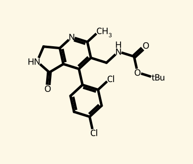 Cc1nc2c(c(-c3ccc(Cl)cc3Cl)c1CNC(=O)OC(C)(C)C)C(=O)NC2